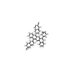 Fc1ccc2cc(-c3c4ccccc4c(-c4ccc5cc(F)ccc5c4)c4cc5c(cc34)c(-c3cccnc3)cc3ccccc35)ccc2c1